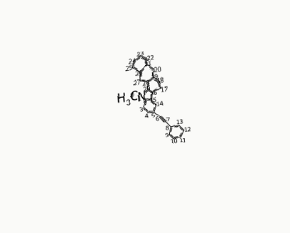 Cn1c2ccc(C#Cc3ccccc3)cc2c2ccc3cc4ccccc4cc3c21